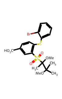 COC(C)(C)C(C)(OC)S(=O)(=O)c1cc(C(=O)O)ccc1Sc1ccccc1Br